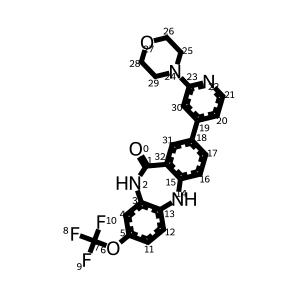 O=C1Nc2cc(OC(F)(F)F)ccc2Nc2ccc(-c3ccnc(N4CCOCC4)c3)cc21